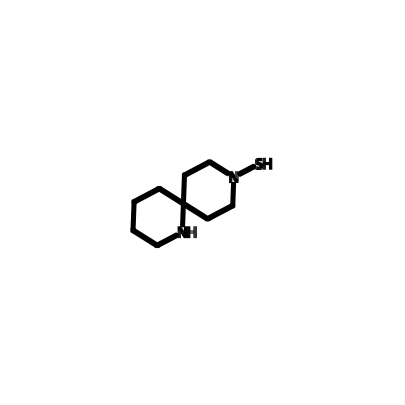 SN1CCC2(CCCCN2)CC1